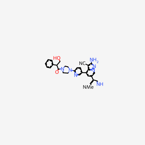 CN/C=C(\C=N)c1cc(-c2ccc(N3CCN(C(=O)C(CO)c4ccccc4)CC3)nc2)c2c(C#N)c(N)nn2c1